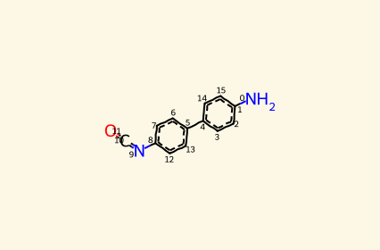 Nc1ccc(-c2ccc(N=C=O)cc2)cc1